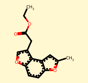 CCOC(=O)Cc1coc2ccc3oc(C)cc3c12